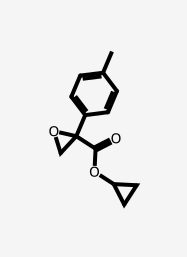 Cc1ccc(C2(C(=O)OC3CC3)CO2)cc1